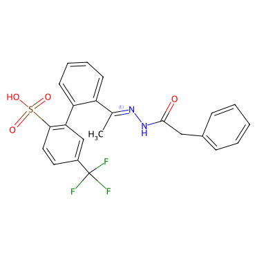 C/C(=N\NC(=O)Cc1ccccc1)c1ccccc1-c1cc(C(F)(F)F)ccc1S(=O)(=O)O